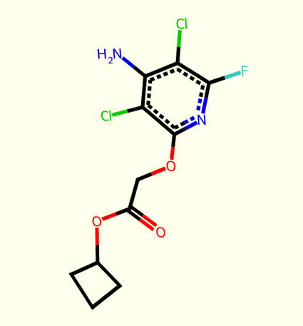 Nc1c(Cl)c(F)nc(OCC(=O)OC2CCC2)c1Cl